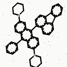 c1ccc(-c2c3cc(N4CCCCC4)ccc3c(-c3ccc4c5c(cccc35)-c3ccccc3-4)c3cc(N4CCCCC4)ccc23)cc1